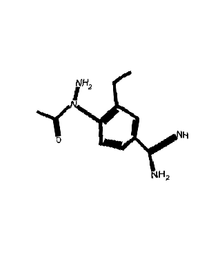 CCc1cc(C(=N)N)ccc1N(N)C(C)=O